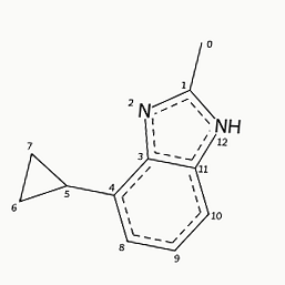 Cc1nc2c(C3CC3)cccc2[nH]1